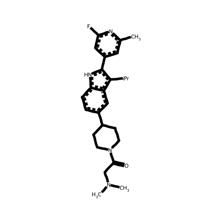 Cc1cc(-c2[nH]c3ccc(C4CCN(C(=O)CN(C)C)CC4)cc3c2C(C)C)cc(F)n1